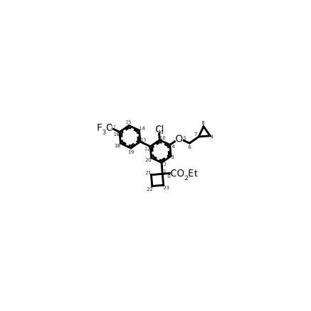 CCOC(=O)C1(c2cc(OCC3CC3)c(Cl)c(-c3ccc(C(F)(F)F)cc3)c2)CCC1